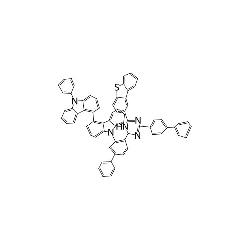 C1=c2c(n(-c3cc(-c4ccccc4)ccc3C3N=C(c4ccc(-c5ccccc5)cc4)N=C(c4ccc5sc6ccccc6c5c4)N3)c3cccc(-c4cccc5c4c4ccccc4n5-c4ccccc4)c23)=CCC1